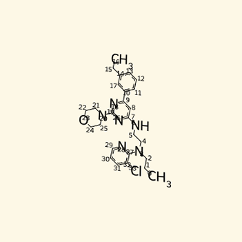 CCCN(CCNc1cc(-c2cccc(CC)c2)nc(N2CCOCC2)n1)c1ncccc1Cl